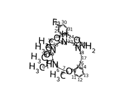 CCC(C)[C@@H]1NC[C@@H](C)Oc2ccccc2CCCN(N)C(=O)[C@@H](Cc2ccc(F)cc2)NC(=O)[C@@H](C)N(C)C1=O